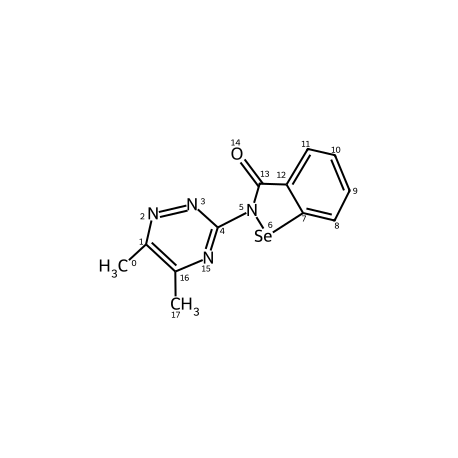 Cc1nnc(-n2[se]c3ccccc3c2=O)nc1C